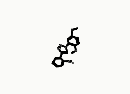 COc1ccc(OC)c(-n2cc(-c3ccccc3N)nn2)c1